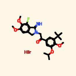 Br.COc1cc2c(c(F)c1OC)C(=N)N(CC(=O)c1cc(OC(C)C)c(OC)c(C(C)(C)C)c1)C2